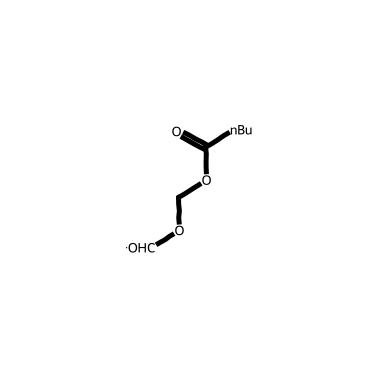 CCCCC(=O)OCO[C]=O